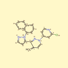 C=C1C=CN(c2ccnc(Cl)c2)N=C1c1ccnn1-c1cccc2ccccc12